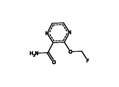 NC(=O)c1nccnc1OCF